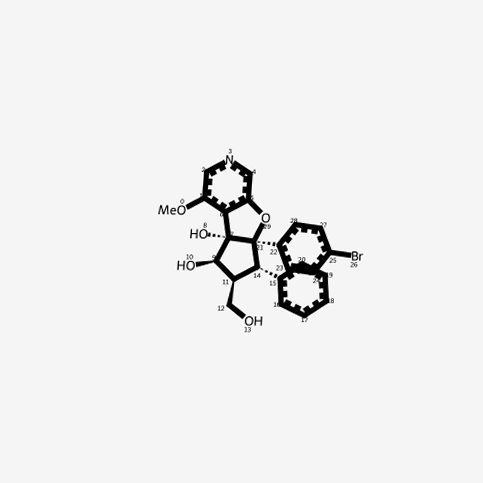 COc1cncc2c1[C@]1(O)[C@H](O)[C@H](CO)[C@@H](c3ccccc3)[C@]1(c1ccc(Br)cc1)O2